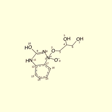 [O-][N+]1(OCC(O)CO)N=C(O)Nc2ccccc21